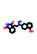 CCCN(CCC12CC=CC=C1C(=O)NC2=O)C1CCc2c(O)cccc2C1